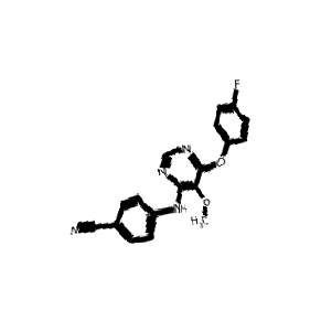 COc1c(Nc2ccc(C#N)cc2)ncnc1Oc1ccc(F)cc1